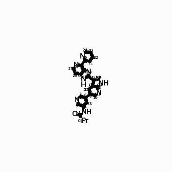 CC(C)C(=O)Nc1cncc(-c2cnc3[nH]nc(-c4nc5c(-c6ccccn6)nccc5[nH]4)c3c2)c1